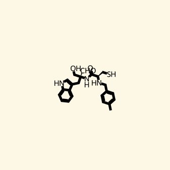 Cc1ccc(CN[C@H](CS)C(=O)N[C@](C=O)(CO)Cc2c[nH]c3ccccc23)cc1